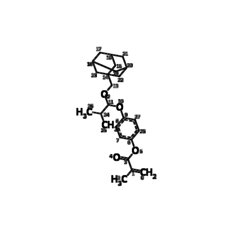 C=C(C)C(=O)Oc1ccc(OC(OCC23CC4CC(CC(C4)C2)C3)C(C)C)cc1